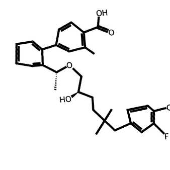 Cc1cc(-c2ccccc2[C@@H](C)OC[C@H](O)CCC(C)(C)Cc2ccc(Cl)c(F)c2)ccc1C(=O)O